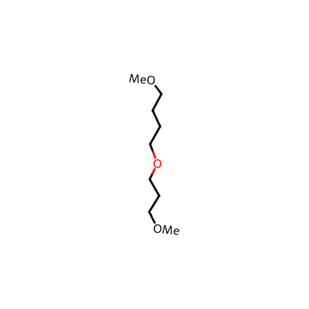 COCCCCOCCCOC